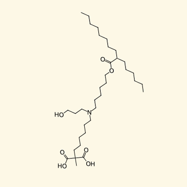 CCCCCCCCC(CCCCCC)C(=O)OCCCCCCN(CCCO)CCCCCCC(C)(C(=O)O)C(=O)O